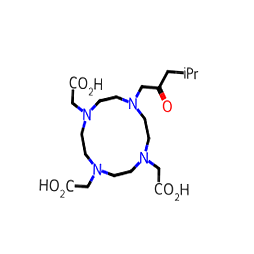 CC(C)CC(=O)CN1CCN(CC(=O)O)CCN(CC(=O)O)CCN(CC(=O)O)CC1